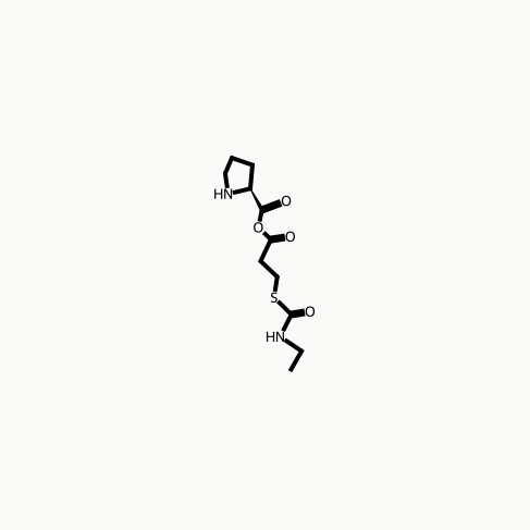 CCNC(=O)SCCC(=O)OC(=O)[C@@H]1CCCN1